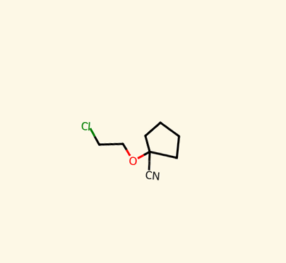 N#CC1(OCCCl)CCCC1